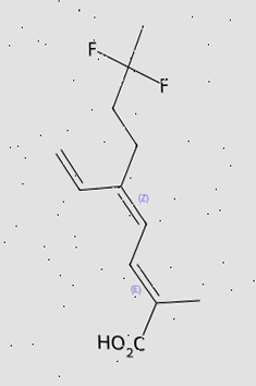 C=C/C(=C\C=C(/C)C(=O)O)CCC(C)(F)F